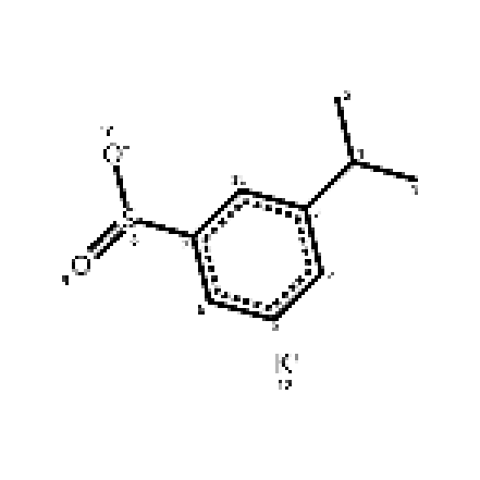 CC(C)c1cccc(S(=O)[O-])c1.[K+]